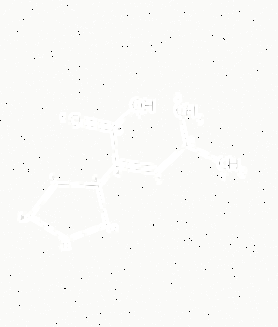 CC(C)C=C(C(=O)O)C1CCCC1